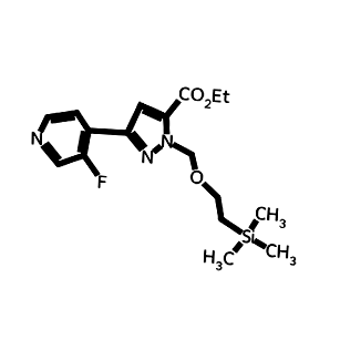 CCOC(=O)c1cc(-c2ccncc2F)nn1COCC[Si](C)(C)C